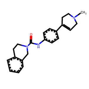 CN1CC=C(c2ccc(NC(=O)N3CCc4ccccc4C3)cc2)CC1